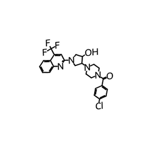 O=C(c1ccc(Cl)cc1)N1CCN(C2CN(c3cc(C(F)(F)F)c4ccccc4n3)CC2O)CC1